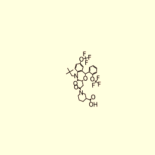 CC(C)(C)CN1C(=O)C(CC(=O)N2CCCC(C(=O)O)C2)OC(c2ccccc2OC(F)(F)F)c2cc(OC(F)(F)F)ccc21